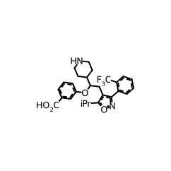 CC(C)c1onc(-c2ccccc2C(F)(F)F)c1CC(Oc1cccc(C(=O)O)c1)C1CCNCC1